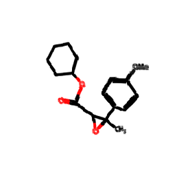 COc1ccc(C2(C)OC2C(=O)OC2CCCCC2)cc1